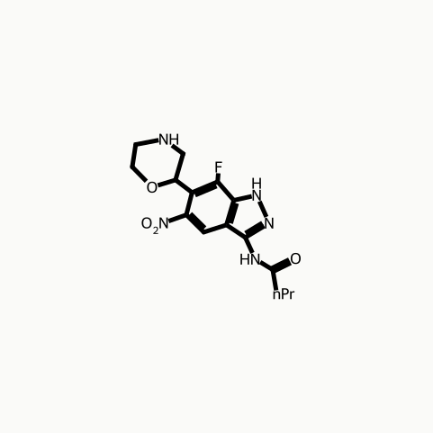 CCCC(=O)Nc1n[nH]c2c(F)c(C3CNCCO3)c([N+](=O)[O-])cc12